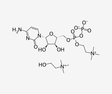 C[N+](C)(C)CCO.C[N+](C)(C)CCOP(=O)(OC[C@H]1O[C@@H](n2ccc(N)nc2=O)[C@H](O)[C@@H]1O)OP(=O)([O-])[O-]